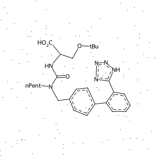 CCCCCN(Cc1ccc(-c2ccccc2-c2nnn[nH]2)cc1)C(=O)NC(COC(C)(C)C)C(=O)O